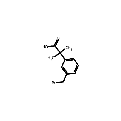 CC(C)(C(=O)O)c1cccc(CBr)c1